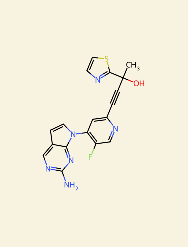 CC(O)(C#Cc1cc(-n2ccc3cnc(N)nc32)c(F)cn1)c1nccs1